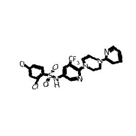 O=S(=O)(Nc1cnc(N2CCN(c3ccccn3)CC2)c(C(F)(F)F)c1)c1ccc(Cl)cc1Cl